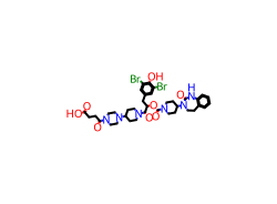 O=C(O)CCC(=O)N1CCN(C2CCN(C(=O)C(Cc3cc(Br)c(O)c(Br)c3)OC(=O)N3CCC(N4CCc5ccccc5NC4=O)CC3)CC2)CC1